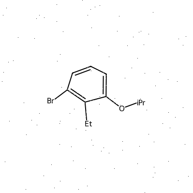 CCc1c(Br)cccc1OC(C)C